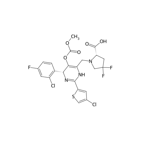 COC(=O)OC1=C(CN2CC(F)(F)C[C@H]2C(=O)O)NC(c2cc(Cl)cs2)=N[C@@H]1c1ccc(F)cc1Cl